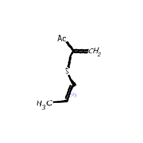 C=C(S/C=C\C)C(C)=O